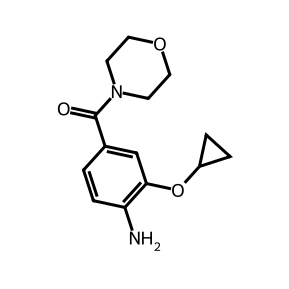 Nc1ccc(C(=O)N2CCOCC2)cc1OC1CC1